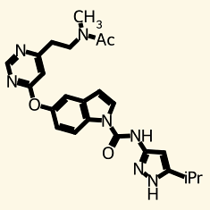 CC(=O)N(C)CCc1cc(Oc2ccc3c(ccn3C(=O)Nc3cc(C(C)C)[nH]n3)c2)ncn1